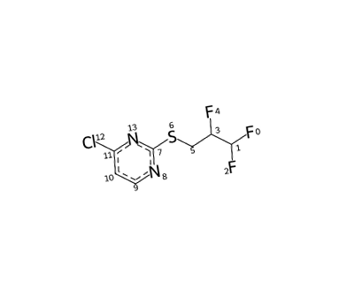 FC(F)C(F)CSc1nccc(Cl)n1